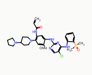 C=CC(=O)Nc1cc(Nc2ncc(Cl)c(Nc3ccccc3P(C)(C)=O)n2)c(OC)cc1N1CCC(N2CCCC2)CC1